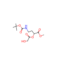 COC(=O)C(CCNC(=O)OC(C)(C)C)OC(=O)CO